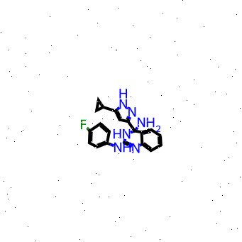 NC1(c2cc(C3CC3)[nH]n2)NC(Nc2ccc(F)cc2)=Nc2ccccc21